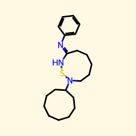 c1ccc(N=C2CCCCCN(C3CCCCCCCC3)SN2)cc1